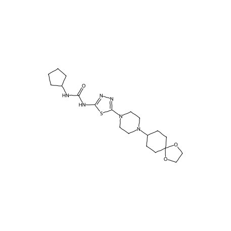 O=C(Nc1nnc(N2CCN(C3CCC4(CC3)OCCO4)CC2)s1)NC1CCCC1